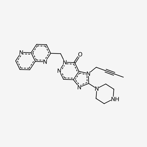 CC#CCn1c(N2CCNCC2)nc2cnn(Cc3ccc4ncccc4n3)c(=O)c21